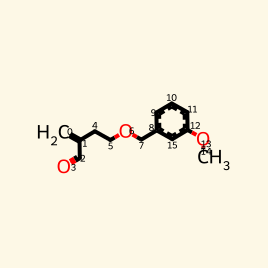 C=C(C=O)CCOCc1cccc(OC)c1